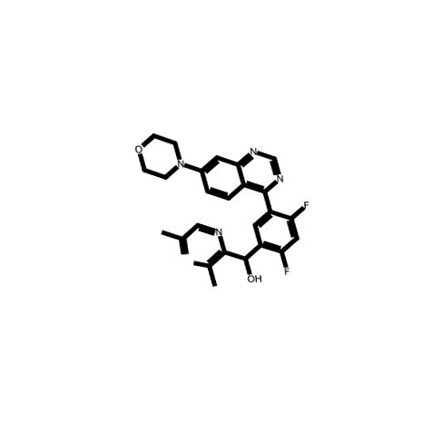 C=C(C)/C=N\C(=C(C)C)C(O)c1cc(-c2ncnc3cc(N4CCOCC4)ccc23)c(F)cc1F